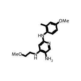 COCCNc1cc(Nc2ccc(OC)cc2C)ncc1N